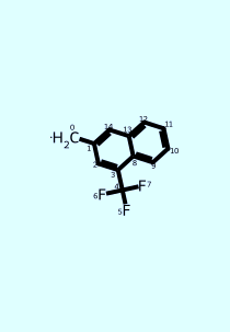 [CH2]c1cc(C(F)(F)F)c2ccccc2c1